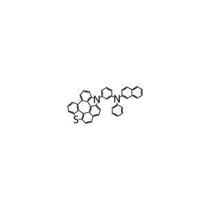 c1ccc(N(c2cccc(-n3c4cccc5c4c4c6c(ccc7sc8cccc-5c8c76)ccc43)c2)c2ccc3ccccc3c2)cc1